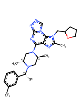 Cc1nc2c(N3C[C@@H](C)N([C@@H](c4cccc(C(F)(F)F)c4)C(C)C)C[C@@H]3C)nc3nncn3c2n1CC1CCCO1